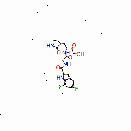 O=C(CNC(=O)c1cc2cc(F)cc(F)c2[nH]1)NC(CC1CCNC1=O)C(=O)CO